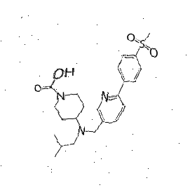 CC(C)CN(Cc1ccc(-c2ccc(S(C)(=O)=O)cc2)nc1)C1CCN(C(=O)O)CC1